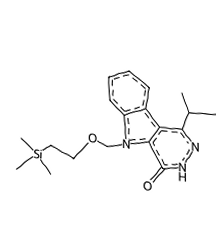 CC(C)c1n[nH]c(=O)c2c1c1ccccc1n2COCC[Si](C)(C)C